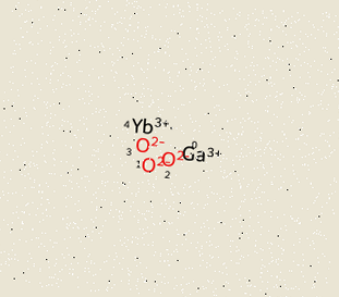 [Ga+3].[O-2].[O-2].[O-2].[Yb+3]